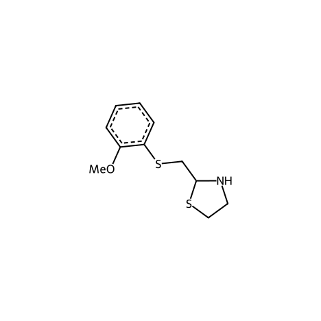 COc1ccccc1SCC1NCCS1